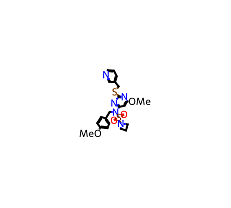 COc1ccc(CN(c2cc(OC)nc(SCc3cccnc3)n2)S(=O)(=O)N2CCC2)cc1